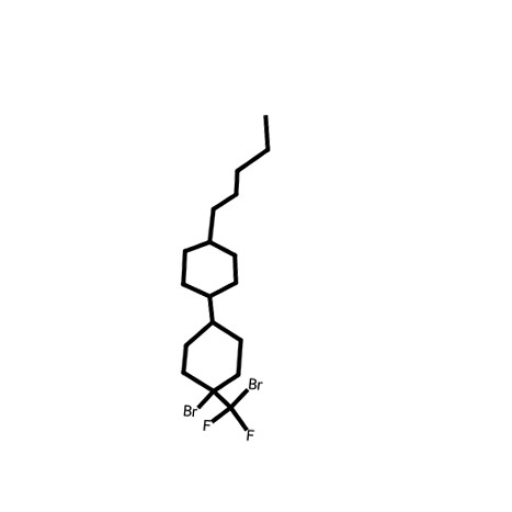 CCCCCC1CCC(C2CCC(Br)(C(F)(F)Br)CC2)CC1